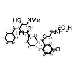 CNC[C@@H](O)[C@H](CC1CCCCC1)NC(=O)N1CCC[C@@H]([C@@H](OCCNC(=O)O)c2cccc(Cl)c2)C1